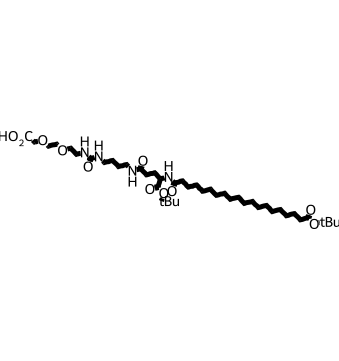 CC(C)(C)OC(=O)CCCCCCCCCCCCCCCCCCC(=O)NC(CCC(=O)NCCCCNC(=O)NCCOCCOCC(=O)O)C(=O)OC(C)(C)C